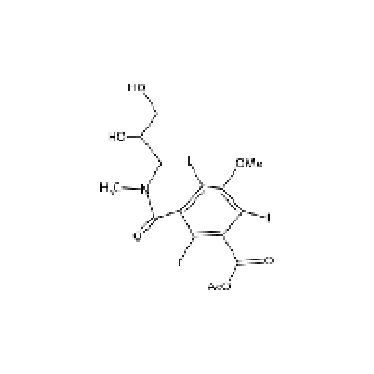 COc1c(I)c(C(=O)OC(C)=O)c(I)c(C(=O)N(C)CC(O)CO)c1I